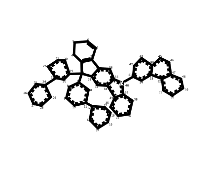 C1=CC2=C(CC1)C(c1cccc(-c3ccccc3)c1)(c1cccc(-c3ccccc3)c1)c1cc3c4ccccc4n(-c4ccc5ccc6ccccc6c5c4)c3cc12